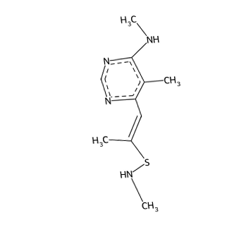 CNS/C(C)=C/c1ncnc(NC)c1C